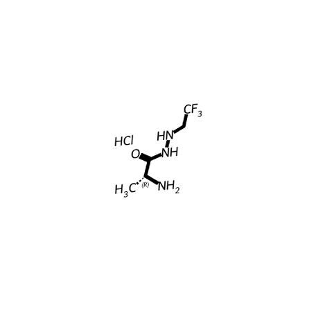 C[C@@H](N)C(=O)NNCC(F)(F)F.Cl